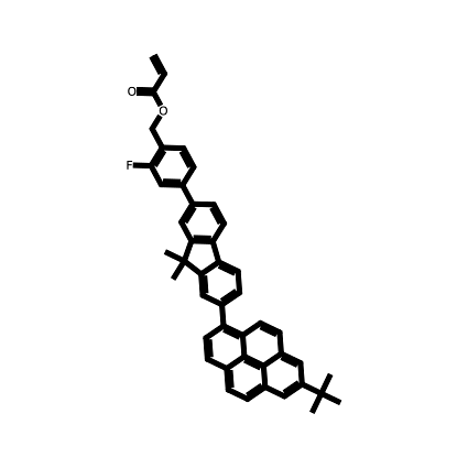 C=CC(=O)OCc1ccc(-c2ccc3c(c2)C(C)(C)c2cc(-c4ccc5ccc6cc(C(C)(C)C)cc7ccc4c5c67)ccc2-3)cc1F